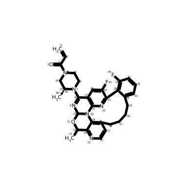 C=CC(=O)N1CCN(C2=NC3OC(C)c4nccc5c4N3c3nc(c(F)cc32)-c2c(F)cccc2CCCC5)[C@@H](C)C1